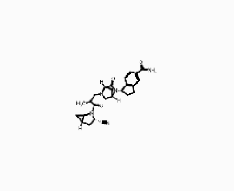 C[C@@H](CN1C[C@@H]2C[C@H]1C(=O)N2[C@H]1CCc2cc(C(N)=O)ccc21)C(=O)N1C2C[C@H]2C[C@H]1C#N